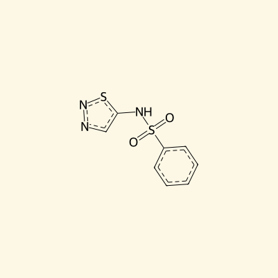 O=S(=O)(Nc1cnns1)c1ccccc1